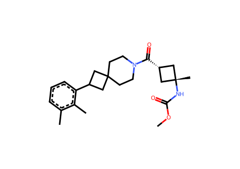 COC(=O)N[C@]1(C)C[C@H](C(=O)N2CCC3(CC2)CC(c2cccc(C)c2C)C3)C1